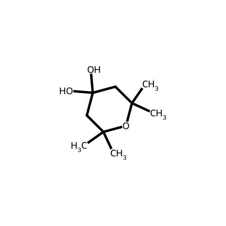 CC1(C)CC(O)(O)CC(C)(C)O1